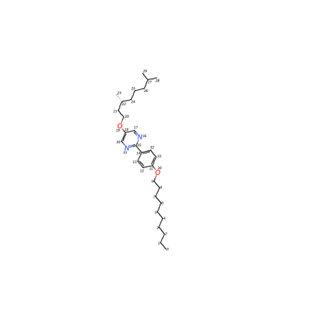 CCCCCCCCCCOc1ccc(-c2ncc(OCC[C@H](C)CCCC(C)C)cn2)cc1